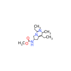 CCC1=N[C@@H](C)C(CC)=C2C[C@@H](NC(=O)OC)CN12